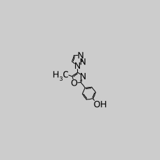 Cc1oc(-c2ccc(O)cc2)nc1-n1ccnn1